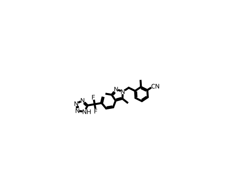 C=C(/C=C\c1c(C)nn(Cc2cccc(C#N)c2C)c1C)C(F)(F)c1nnn[nH]1